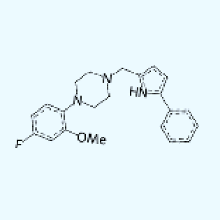 COc1cc(F)ccc1N1CCN(Cc2ccc(-c3ccccc3)[nH]2)CC1